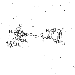 CCOc1cc(C(C)(C)C)ccc1C1=N[C@@](C)(c2ccc(Cl)cc2)[C@@](C)(c2ccc(Cl)cc2)N1C(=O)N1CCN(CCOCCOCCC(=O)NCCn2cc3c(n2)CN(C)C(=O)c2ccc(F)cc2[C@H]2CCCN2c2cc-3cnc2N)CC1